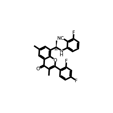 Cc1cc([C@@H](C)Nc2cccc(F)c2C#N)c2oc(-c3ccc(F)cc3F)c(C)c(=O)c2c1